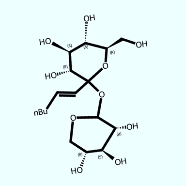 CCCCC=CC1(OC2OC[C@@H](O)[C@H](O)[C@H]2O)O[C@H](CO)[C@@H](O)[C@H](O)[C@H]1O